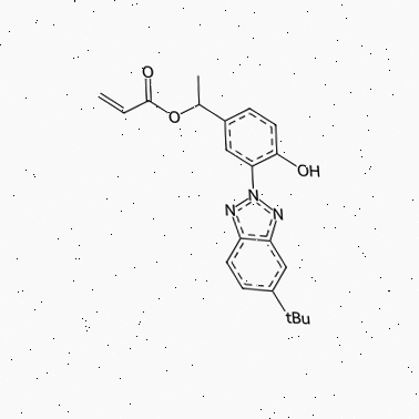 C=CC(=O)OC(C)c1ccc(O)c(-n2nc3ccc(C(C)(C)C)cc3n2)c1